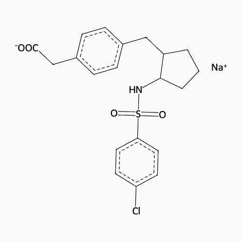 O=C([O-])Cc1ccc(CC2CCCC2NS(=O)(=O)c2ccc(Cl)cc2)cc1.[Na+]